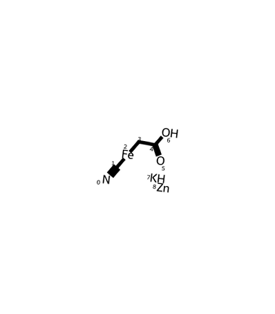 N#[C][Fe][CH2]C(=O)O.[KH].[Zn]